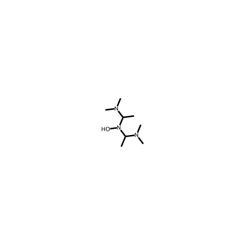 CC(N(C)C)N(O)C(C)N(C)C